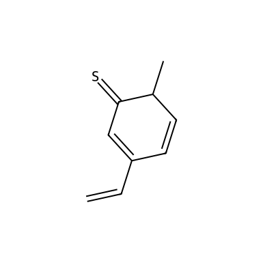 C=CC1=CC(=S)C(C)C=C1